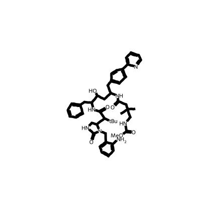 COC(=O)NCC(C)(C)CC(=O)NC(Cc1ccc(-c2ccccn2)cc1)CC(O)C(Cc1ccccc1)NC(=O)C(C1CNC(=O)N1Cc1ccccc1N)C(C)(C)C